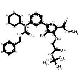 COC(=O)c1sc(-c2cccc(N(C(=O)OCc3ccccc3)C3CCCCC3)c2)c(Br)c1OCC(=O)OC(C)(C)C